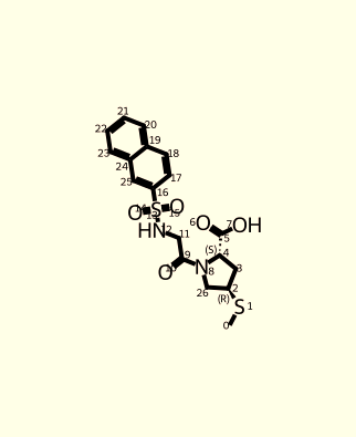 CS[C@@H]1C[C@@H](C(=O)O)N(C(=O)CNS(=O)(=O)c2ccc3ccccc3c2)C1